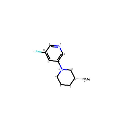 CN[C@@H]1CCCN(c2cncc(F)c2)C1